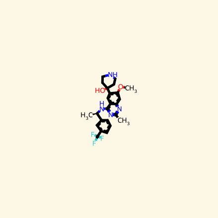 COc1cc2nc(C)nc(N[C@H](C)c3cccc(C(F)(F)F)c3)c2cc1C1(O)CCNCC1